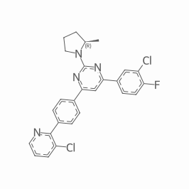 C[C@@H]1CCCN1c1nc(-c2ccc(-c3ncccc3Cl)cc2)cc(-c2ccc(F)c(Cl)c2)n1